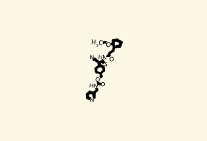 CCOc1ccccc1CCC(=O)Nc1sc2c(c1C#N)CCC(COC(=O)NCc1cccnc1)C2